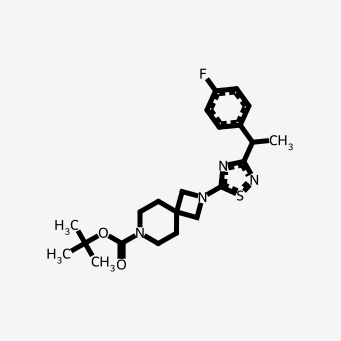 CC(c1ccc(F)cc1)c1nsc(N2CC3(CCN(C(=O)OC(C)(C)C)CC3)C2)n1